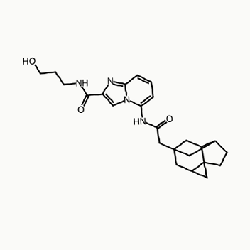 O=C(CC12CC3CCC4(CC4C1)C3C2)Nc1cccc2nc(C(=O)NCCCO)cn12